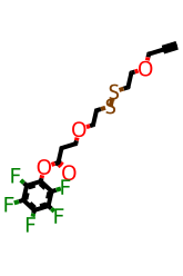 C#CCOCCSSCCOCCC(=O)Oc1c(F)c(F)c(F)c(F)c1F